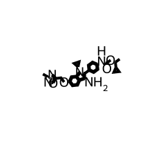 Cc1noc(COc2ccc3c(N)c(-c4ccc(NC(=O)OC(C)C5CC5)cc4)n(C4CC4)c3c2)n1